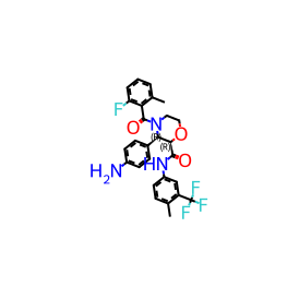 Cc1ccc(NC(=O)[C@@H]2OCCN(C(=O)c3c(C)cccc3F)[C@@H]2c2ccc(N)cc2)cc1C(F)(F)F